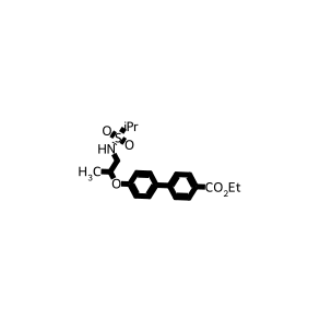 CCOC(=O)c1ccc(-c2ccc(OC(C)CNS(=O)(=O)C(C)C)cc2)cc1